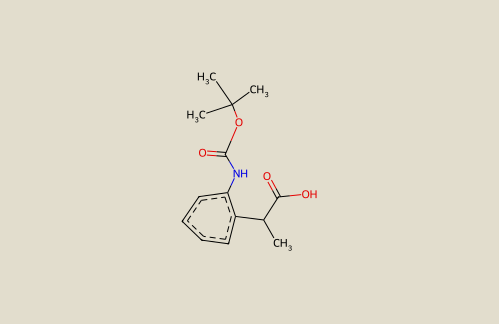 CC(C(=O)O)c1ccccc1NC(=O)OC(C)(C)C